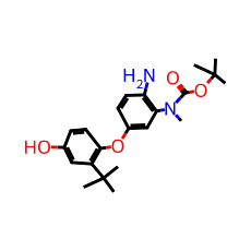 CN(C(=O)OC(C)(C)C)c1cc(Oc2ccc(O)cc2C(C)(C)C)ccc1N